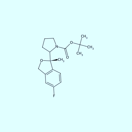 CC(C)(C)OC(=O)N1CCCC1[C@@]1(C)OCc2cc(F)ccc21